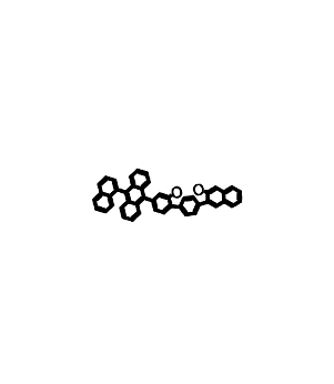 c1ccc2cc3c(cc2c1)oc1c3ccc2c3ccc(-c4c5ccccc5c(-c5cccc6ccccc56)c5ccccc45)cc3oc21